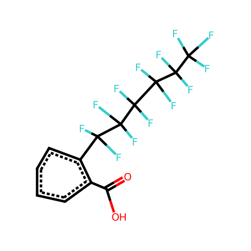 O=C(O)c1ccccc1C(F)(F)C(F)(F)C(F)(F)C(F)(F)C(F)(F)C(F)(F)F